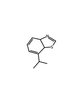 CC(C)C1=CC=CC2N=CSC12